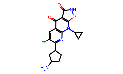 NC1CCC(c2nc3c(cc2F)c(=O)c2c(=O)[nH]oc2n3C2CC2)C1